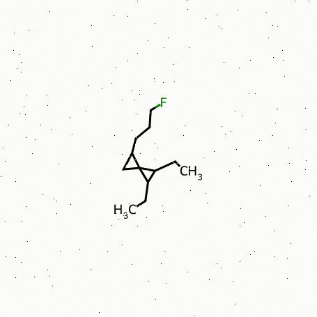 CCC1C(CC)C12CC2CCCF